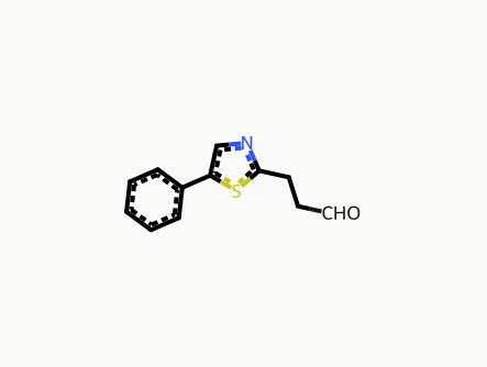 O=CCCc1ncc(-c2ccccc2)s1